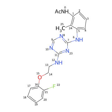 CC(=O)Nc1cccc(Nc2ncnc(NCCOc3ccccc3F)n2)c1C